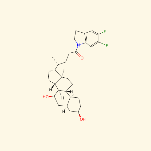 C[C@H](CCC(=O)N1CCc2cc(F)c(F)cc21)[C@H]1CC[C@H]2[C@@H]3[C@H](O)C[C@@H]4C[C@H](O)CC[C@]4(C)[C@H]3CC[C@]12C